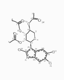 CC(=O)O[C@@H]1[C@H](OC(C)=O)[C@@H](OC(C)=O)CO[C@H]1n1c(Cl)nc2cc(Cl)c(Cl)cc21